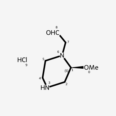 CO[C@H]1CNCCN1CC=O.Cl